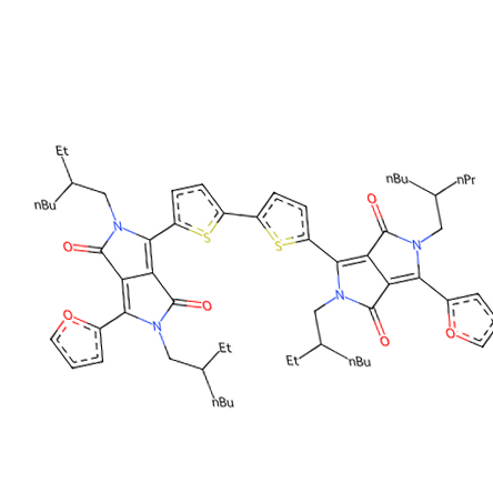 CCCCC(CC)CN1C(=O)C2=C(c3ccc(-c4ccc(C5=C6C(=O)N(CC(CCC)CCCC)C(c7ccco7)=C6C(=O)N5CC(CC)CCCC)s4)s3)N(CC(CC)CCCC)C(=O)C2=C1c1ccco1